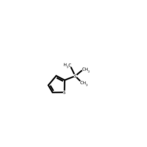 CS(C)(C)c1cccs1